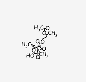 C=CS[C@@H]1[C@H](C(=O)OCCC(C)OC(C)=O)C(=O)N1C(C)(Cl)C(=O)O